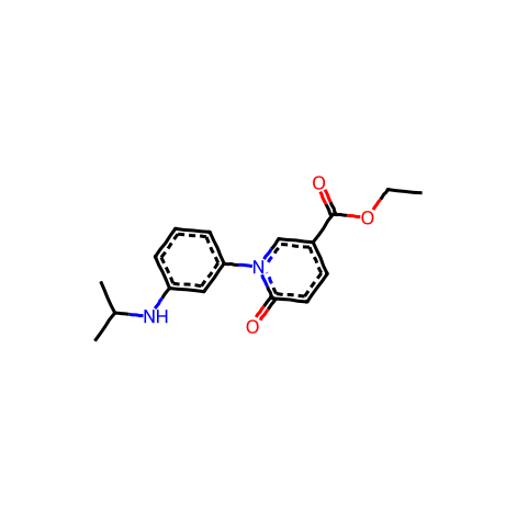 CCOC(=O)c1ccc(=O)n(-c2cccc(NC(C)C)c2)c1